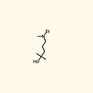 CCN(C)CCCC(C)(C)O